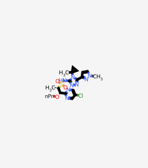 CCCO[C@@H](c1ncc(Cl)cn1)[C@H](C)S(=O)(=O)Nc1nnc(-c2ccn(C)n2)n1C1(C)CC1